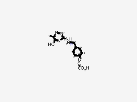 Cc1nnc(N/N=C/c2ccc(OCC(=O)O)cc2)nc1O